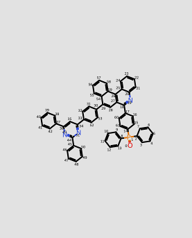 O=P(c1ccccc1)(c1ccccc1)c1ccc(-c2nc3ccccc3c3c2cc(-c2ccc(-c4cc(-c5ccccc5)nc(-c5ccccc5)n4)cc2)c2ccccc23)cc1